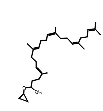 CC(C)=CCCC(C)=CCCC(C)=CCCC=C(C)CCC=C(C)CCC(O)OC1CC1